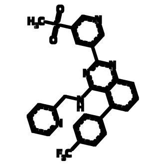 CS(=O)(=O)c1cncc(-c2nc(NCc3ccccn3)c3c(-c4ccc(C(F)(F)F)cc4)cccc3n2)c1